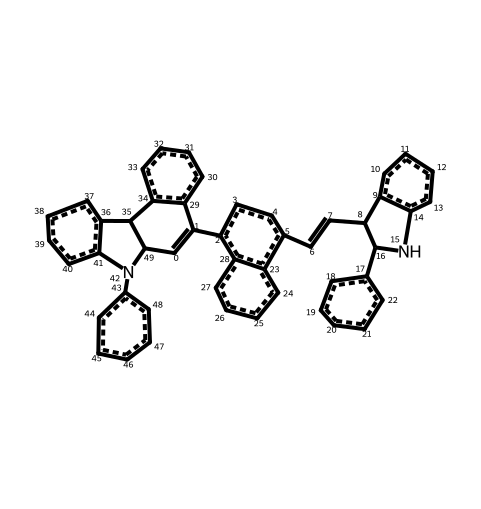 C1=C(c2ccc(/C=C/C3c4ccccc4NC3c3ccccc3)c3ccccc23)c2ccccc2C2c3ccccc3N(c3ccccc3)C12